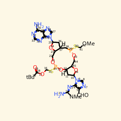 CN/C(N)=N\c1c(C=O)ncn1C1C[C@@H]2OP(SCOC(=O)C(C)(C)C)OCC3OC(n4cnc5c(N)ncnc54)C[C@@H]3CP(SCOC)OCC2O1